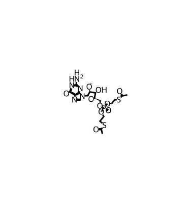 CO[C@H]1C(n2cnc3c(=O)[nH]c(N)nc32)O[C@H](COP(=O)(OCCSC(C)=O)OCCSC(C)=O)[C@H]1O